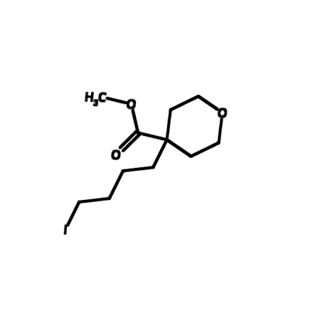 COC(=O)C1(CCCCI)CCOCC1